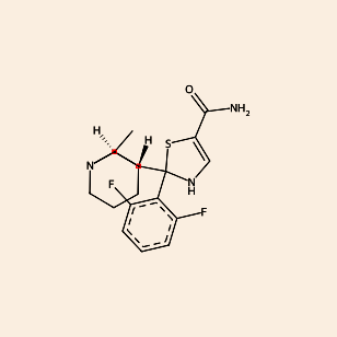 C[C@H]1[C@H](C2(c3c(F)cccc3F)NC=C(C(N)=O)S2)C2CCN1CC2